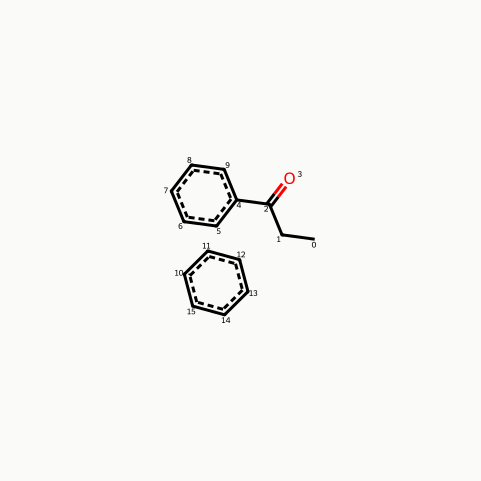 CCC(=O)c1ccccc1.[c]1ccccc1